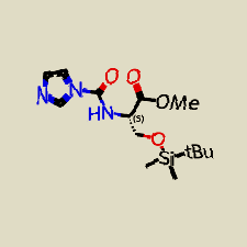 COC(=O)[C@H](CO[Si](C)(C)C(C)(C)C)NC(=O)n1ccnc1